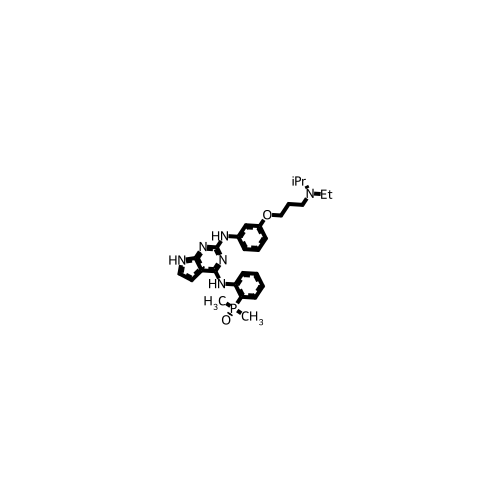 CCN(CCCOc1cccc(Nc2nc(Nc3ccccc3P(C)(C)=O)c3cc[nH]c3n2)c1)C(C)C